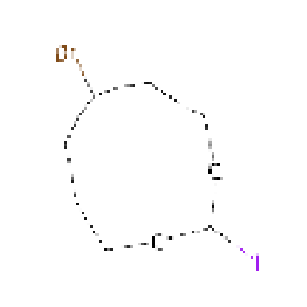 BrC1CCCCC(I)CCC1